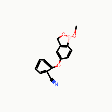 COB1OCc2cc(Oc3ccccc3C#N)ccc21